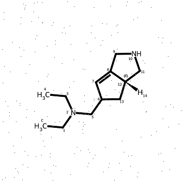 CCN(CC)CC1C=C2CNC[C@@H]2C1